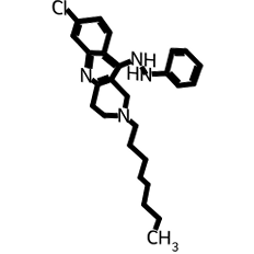 CCCCCCCCN1CCc2nc3cc(Cl)ccc3c(NNc3ccccc3)c2C1